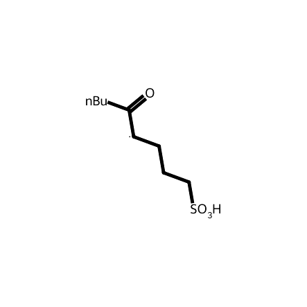 CCCCC(=O)[CH]CCCS(=O)(=O)O